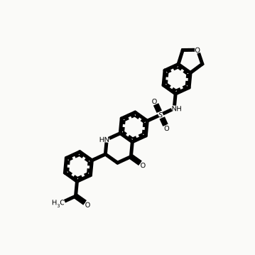 CC(=O)c1cccc(C2CC(=O)c3cc(S(=O)(=O)Nc4ccc5c(c4)COC5)ccc3N2)c1